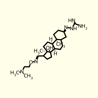 CN(C)CCON=CC1CC[C@@]2(O)[C@@H]3CCC4CC(=NNC(=N)N)CC[C@]4(C)[C@@H]3CC[C@]12C